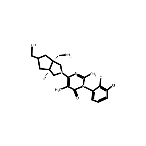 Cc1c(N2C[C@H]3CC(CO)C[C@@]3(CN)C2)nc(C)n(-c2cccc(Cl)c2Cl)c1=O